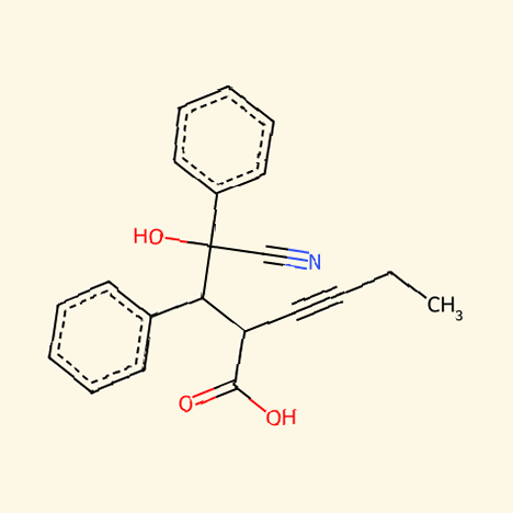 CCC#CC(C(=O)O)C(c1ccccc1)C(O)(C#N)c1ccccc1